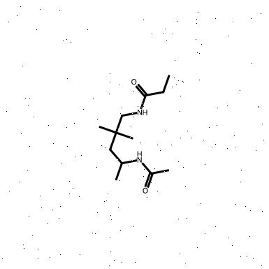 CCC(=O)NCC(C)(C)CC(C)NC(C)=O